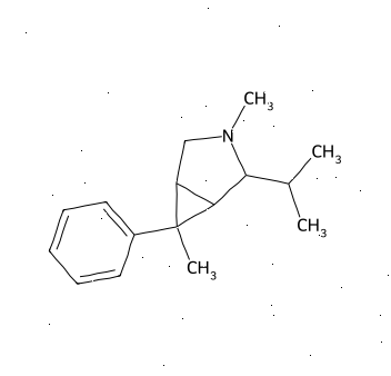 CC(C)C1C2C(CN1C)C2(C)c1ccccc1